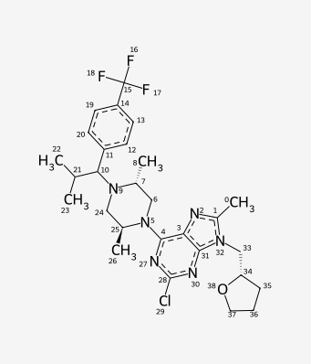 Cc1nc2c(N3C[C@@H](C)N(C(c4ccc(C(F)(F)F)cc4)C(C)C)C[C@@H]3C)nc(Cl)nc2n1C[C@@H]1CCCO1